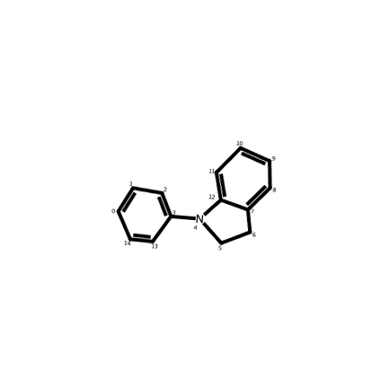 [c]1ccc(N2CCc3ccccc32)cc1